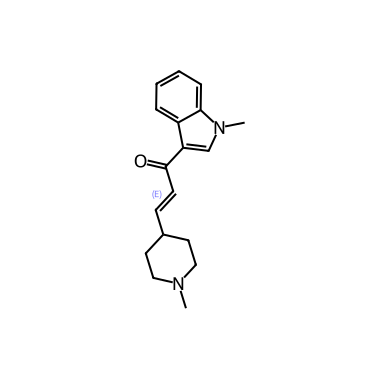 CN1CCC(/C=C/C(=O)c2cn(C)c3ccccc23)CC1